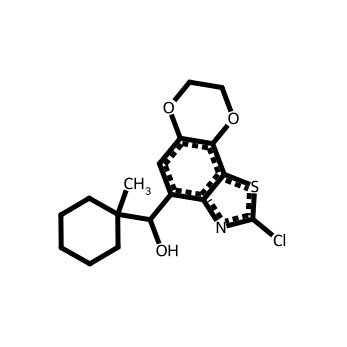 CC1(C(O)c2cc3c(c4sc(Cl)nc24)OCCO3)CCCCC1